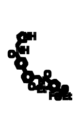 CCc1c(C(=O)N2CCOc3ccc(-c4ccc(C(=O)NCC5CCNC5)cc4)cc3C2)ccc(S(=O)(=O)CC)c1F